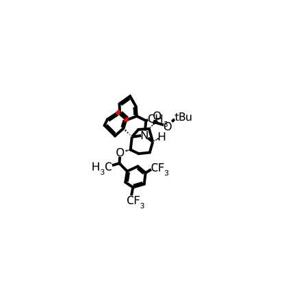 CC(O[C@H]1CC[C@@H]2[C@@H](C(=O)OC(C)(C)C)C[C@@]1(c1ccccc1)N2C(C)c1ccccc1)c1cc(C(F)(F)F)cc(C(F)(F)F)c1